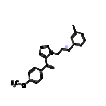 C=C(c1ccc(OC(F)(F)F)cc1)c1cccn1C/C=C/c1cccc(C)c1